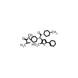 CN1C[C@]2(CC[C@@H](N(c3cc(C4=CCCCC4)sc3C(=O)O)C(=O)[C@H]3CC[C@H](C)CC3)CC2)N(C)C1=O